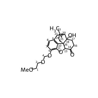 COCCOCOc1ccc2c3c1OC1C(=O)CC[C@@]4(O)C(C2)N(C)CC[C@]314